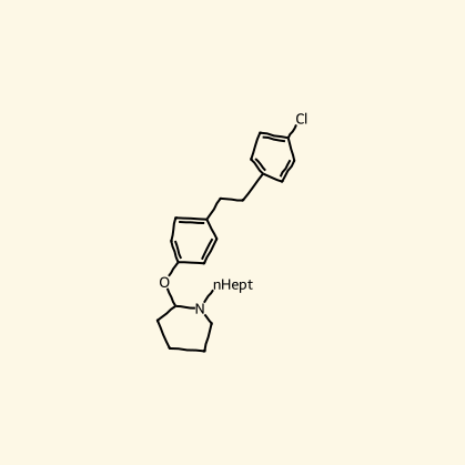 CCCCCCCN1CCCCC1Oc1ccc(CCc2ccc(Cl)cc2)cc1